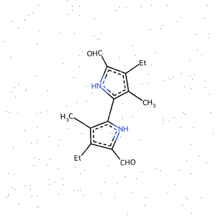 CCc1c(C=O)[nH]c(-c2[nH]c(C=O)c(CC)c2C)c1C